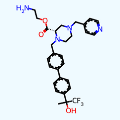 CC(O)(c1ccc(-c2ccc(CN3CCN(Cc4ccncc4)C[C@H]3C(=O)OCCN)cc2)cc1)C(F)(F)F